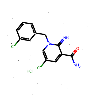 Cl.N=c1c(C(N)=O)cc(Cl)cn1Cc1cccc(Cl)c1